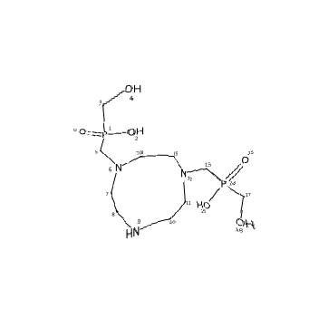 O=P(O)(CO)CN1CCNCCN(CP(=O)(O)CO)CC1